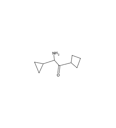 NC(C(=O)C1CCC1)C1CC1